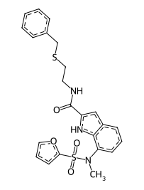 CN(c1cccc2cc(C(=O)NCCSCc3ccccc3)[nH]c12)S(=O)(=O)c1ccco1